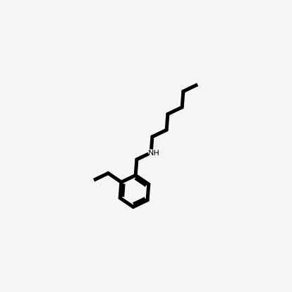 CCCCCCNCc1ccccc1CC